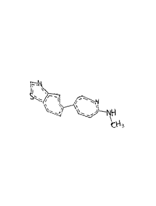 CNc1ccc(-c2ccc3scnc3c2)cn1